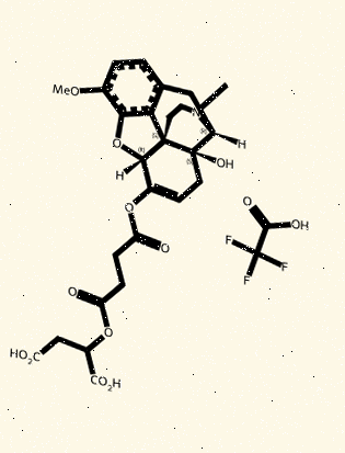 COc1ccc2c3c1O[C@H]1C(OC(=O)CCC(=O)OC(CC(=O)O)C(=O)O)=CC[C@@]4(O)[C@@H](C2)N(C)CC[C@]314.O=C(O)C(F)(F)F